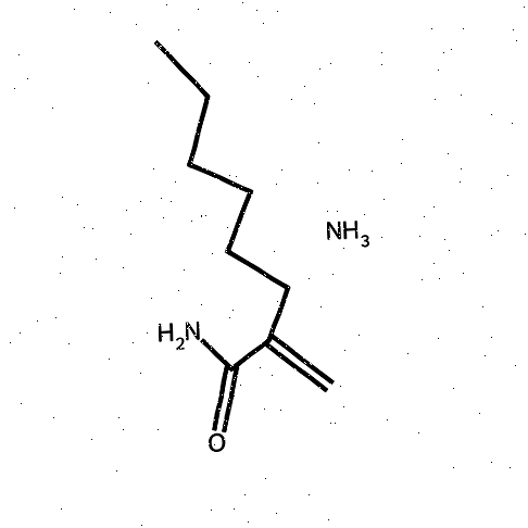 C=C(CCCCCC)C(N)=O.N